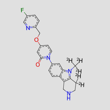 [2H]C1([2H])CNCc2c1n(C([2H])([2H])[2H])c1cc(-n3ccc(OCc4ccc(F)cn4)cc3=O)ccc21